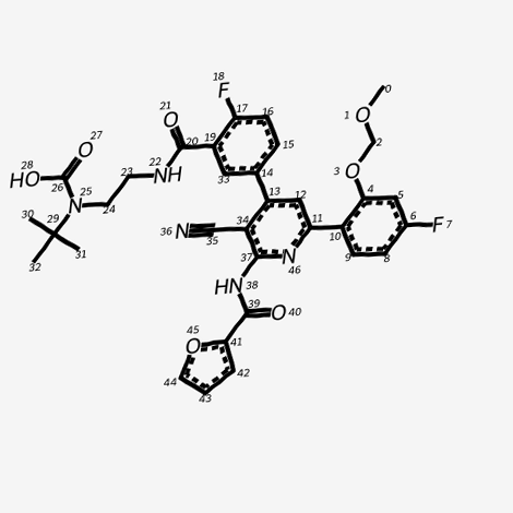 COCOc1cc(F)ccc1-c1cc(-c2ccc(F)c(C(=O)NCCN(C(=O)O)C(C)(C)C)c2)c(C#N)c(NC(=O)c2ccco2)n1